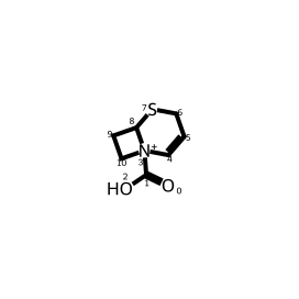 O=C(O)[N+]12C=CCSC1CC2